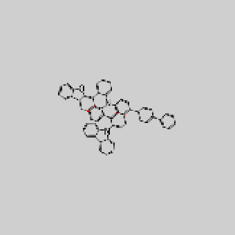 c1ccc(-c2ccc(-c3ccc(N(c4ccccc4-c4ccccc4-n4c5ccccc5c5ccccc54)c4ccccc4-c4cccc5c4oc4ccccc45)cc3)cc2)cc1